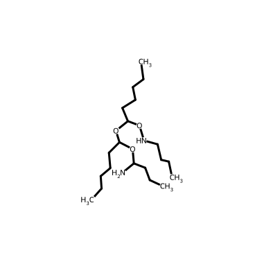 CCCCCC(ONCCCC)OC(CCCCC)OC(N)CCC